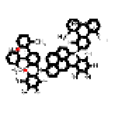 [2H]c1c([2H])c([2H])c(N(c2ccc(-c3c(C)cccc3C)c(-c3c(C)cccc3C)c2F)c2ccc3ccc4c(N(c5ccc(-c6c(C)cccc6C)c(-c6c(C)cccc6C)c5F)c5c([2H])c([2H])c([2H])c([2H])c5[2H])ccc5ccc2c3c54)c([2H])c1[2H]